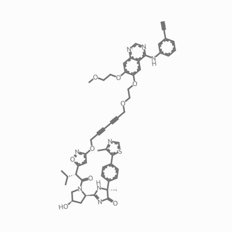 C#Cc1cccc(Nc2ncnc3cc(OCCOC)c(OCCOCC#CC#CCOc4cc([C@H](C(=O)N5C[C@H](O)C[C@@H]5C5=NC(=O)[C@](C)(c6ccc(-c7scnc7C)cc6)N5)C(C)C)on4)cc23)c1